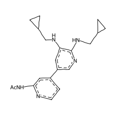 CC(=O)Nc1cc(-c2cnc(NCC3CC3)c(NCC3CC3)c2)ccn1